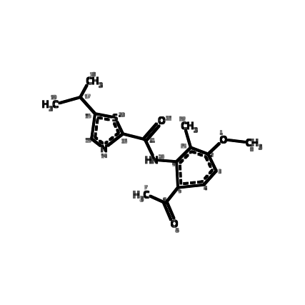 COc1ccc(C(C)=O)c(NC(=O)c2ncc(C(C)C)s2)c1C